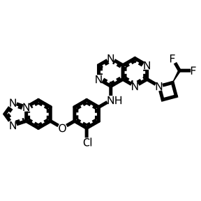 FC(F)[C@H]1CCN1c1ncc2ncnc(Nc3ccc(Oc4ccn5ncnc5c4)c(Cl)c3)c2n1